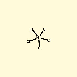 [Cl][Hf]([Cl])([Cl])([Cl])[Cl]